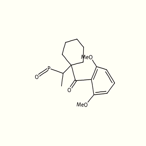 COc1cccc(OC)c1C(=O)C1(C(C)P=O)CCCCC1